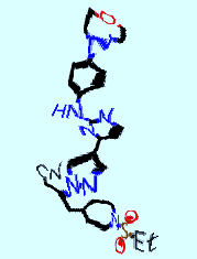 CCS(=O)(=O)N1CCC(CC(CC#N)n2cc(-c3ccnc(Nc4ccc(N5CCOCC5)cc4)n3)cn2)CC1